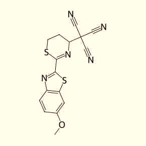 COc1ccc2nc(C3=NC(C(C#N)(C#N)C#N)CCS3)sc2c1